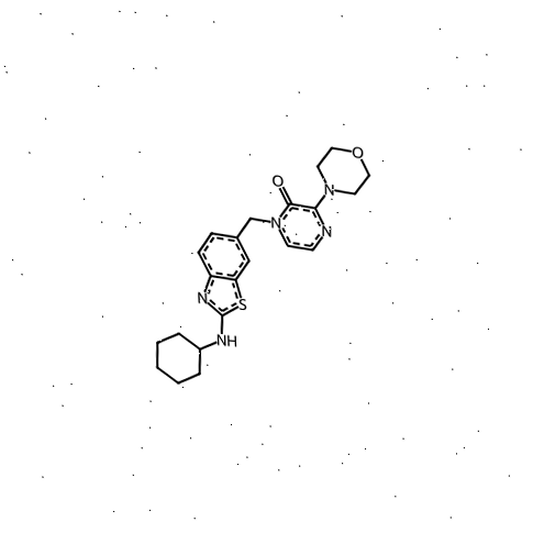 O=c1c(N2CCOCC2)nccn1Cc1ccc2nc(NC3CCCCC3)sc2c1